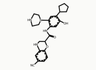 N#Cc1ccc2c(c1)NCC(C(=O)Nc1cc(O)c(C3CCCC3)cc1N1CCNCC1)O2